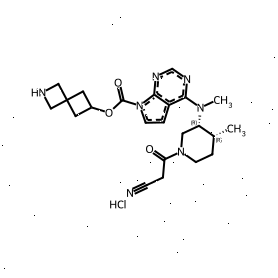 C[C@@H]1CCN(C(=O)CC#N)C[C@@H]1N(C)c1ncnc2c1ccn2C(=O)OC1CC2(CNC2)C1.Cl